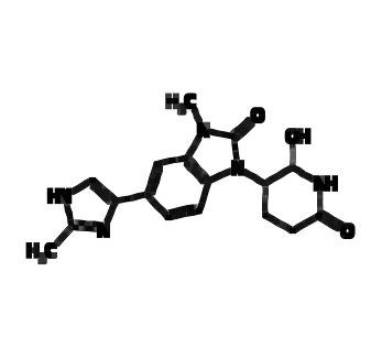 Cc1nc(-c2ccc3c(c2)n(C)c(=O)n3C2CCC(=O)NC2O)c[nH]1